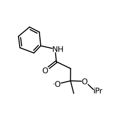 CC(C)OC(C)([O])CC(=O)Nc1ccccc1